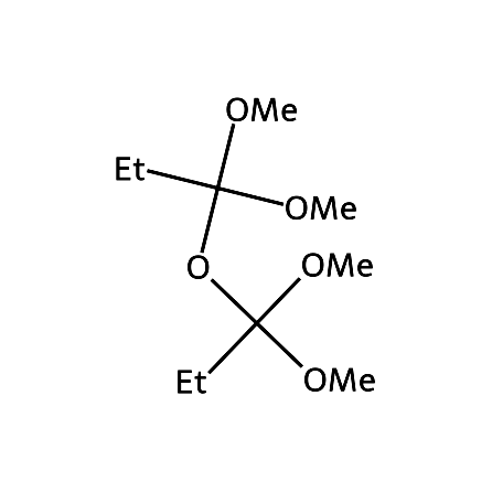 CCC(OC)(OC)OC(CC)(OC)OC